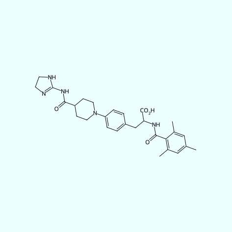 Cc1cc(C)c(C(=O)NC(Cc2ccc(N3CCC(C(=O)NC4=NCCN4)CC3)cc2)C(=O)O)c(C)c1